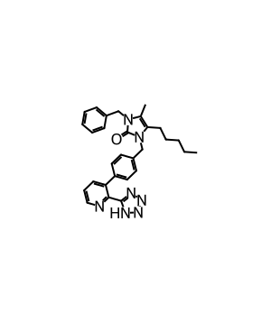 CCCCCc1c(C)n(Cc2ccccc2)c(=O)n1Cc1ccc(-c2cccnc2-c2nnn[nH]2)cc1